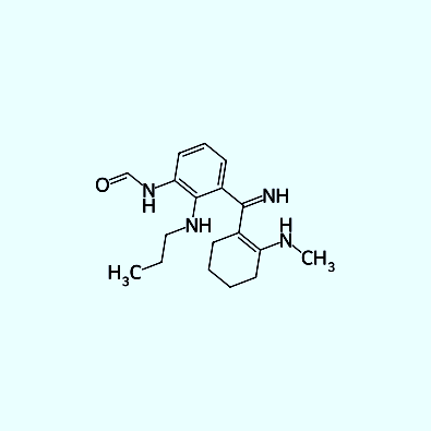 CCCNc1c(NC=O)cccc1C(=N)C1=C(NC)CCCC1